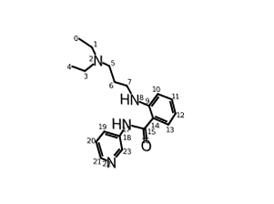 CCN(CC)CCCNc1ccccc1C(=O)Nc1cccnc1